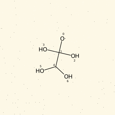 [O]C(O)(O)[C](O)O